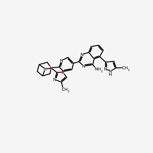 Cc1csc(CN2C3CC2CN(c2ccc(-c4nc(N)c5c(-c6cc(C)[nH]n6)cccc5n4)cn2)C3)n1